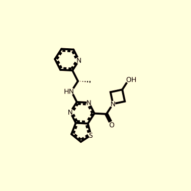 C[C@H](Nc1nc(C(=O)N2CC(O)C2)c2sccc2n1)c1ccccn1